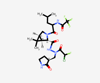 CC(C)CC(NC(=O)C(F)(F)F)C(=O)N1C[C@H]2[C@@H]([C@H]1C(=O)NN(C[C@@H]1CCNC1=O)C(=O)C(F)Cl)C2(C)C